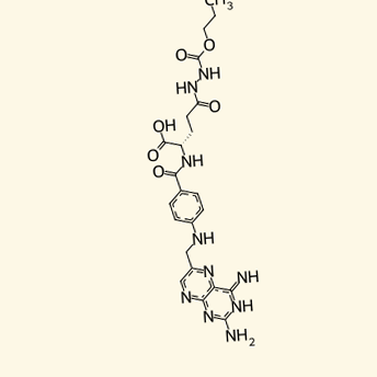 CCCOC(=O)NNC(=O)CC[C@H](NC(=O)c1ccc(NCc2cnc3nc(N)[nH]c(=N)c3n2)cc1)C(=O)O